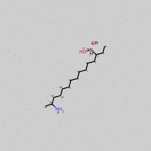 CCC(CCCCCCCCCCC(C)N)[SiH](O)O